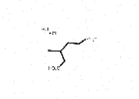 CC(CCC(=O)O)CC(=O)O.Cl.Cl